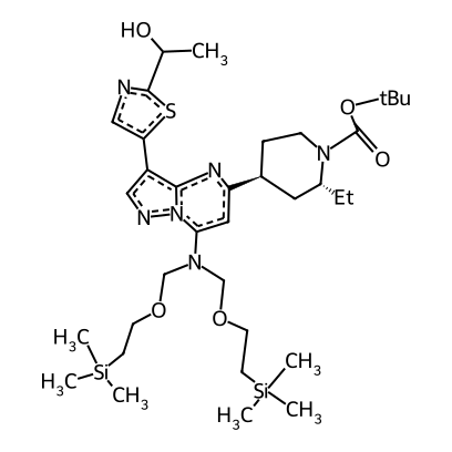 CC[C@@H]1C[C@@H](c2cc(N(COCC[Si](C)(C)C)COCC[Si](C)(C)C)n3ncc(-c4cnc(C(C)O)s4)c3n2)CCN1C(=O)OC(C)(C)C